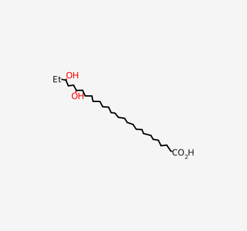 CCC(O)CCC(O)CCCCCCCCCCCCCCCCCCCCCCC(=O)O